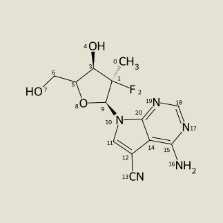 C[C@@]1(F)[C@H](O)C(CO)O[C@@H]1n1cc(C#N)c2c(N)ncnc21